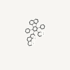 c1ccc(-c2c(-c3cccnc3)c(-c3cnc4c(ccc5cccnc54)c3)c(-c3ccccc3)c3c2-c2cccc4cccc-3c24)cc1